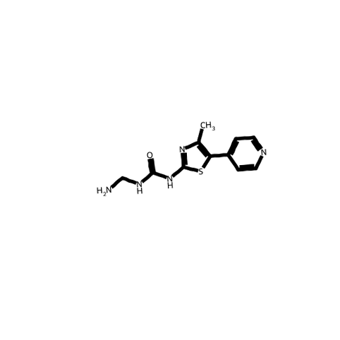 Cc1nc(NC(=O)NCN)sc1-c1ccncc1